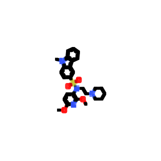 COc1ccc(N(CCN2CCCCC2)S(=O)(=O)c2ccc3c(c2)c2ccccc2n3C)c(OC)n1